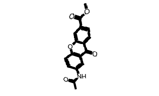 COC(=O)c1ccc2c(=O)c3cc(NC(C)=O)ccc3oc2c1